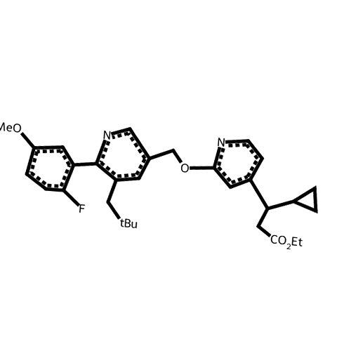 CCOC(=O)CC(c1ccnc(OCc2cnc(-c3cc(OC)ccc3F)c(CC(C)(C)C)c2)c1)C1CC1